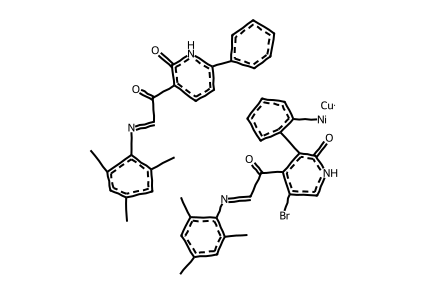 Cc1cc(C)c(N=CC(=O)c2c(Br)c[nH]c(=O)c2-c2cccc[c]2[Ni])c(C)c1.Cc1cc(C)c(N=CC(=O)c2ccc(-c3ccccc3)[nH]c2=O)c(C)c1.[Cu]